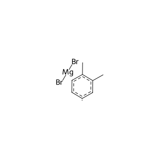 Cc1c[c]ccc1C.[Br][Mg][Br]